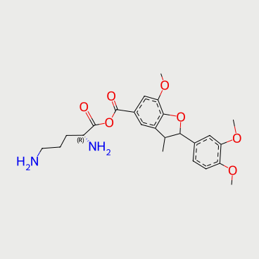 COc1ccc(C2Oc3c(OC)cc(C(=O)OC(=O)[C@H](N)CCCN)cc3C2C)cc1OC